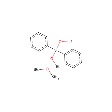 CC(C)(C)O[SiH3].CCO[Si](OCC)(c1ccccc1)c1ccccc1